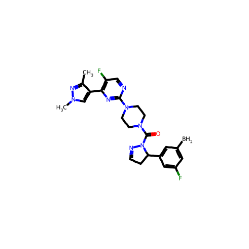 Bc1cc(F)cc(C2CC=NN2C(=O)N2CCN(c3ncc(F)c(-c4cn(C)nc4C)n3)CC2)c1